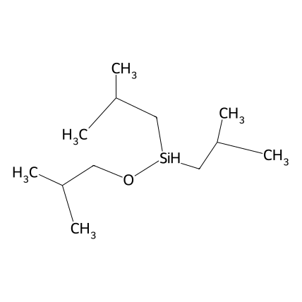 CC(C)CO[SiH](CC(C)C)CC(C)C